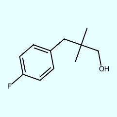 CC(C)(CO)Cc1ccc(F)cc1